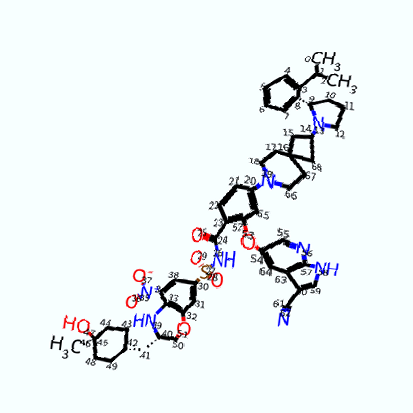 CC(C)c1ccccc1[C@@H]1CCCN1C1CC2(CCN(c3ccc(C(=O)NS(=O)(=O)c4cc5c(c([N+](=O)[O-])c4)N[C@@H](C[C@H]4CC[C@](C)(O)CC4)CO5)c(Oc4cnc5[nH]cc(C#N)c5c4)c3)CC2)C1